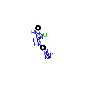 Cn1cc[n+](C)c1/N=N/c1ccc(NCNc2nc(Cl)nc(Nc3ccccc3)n2)cc1